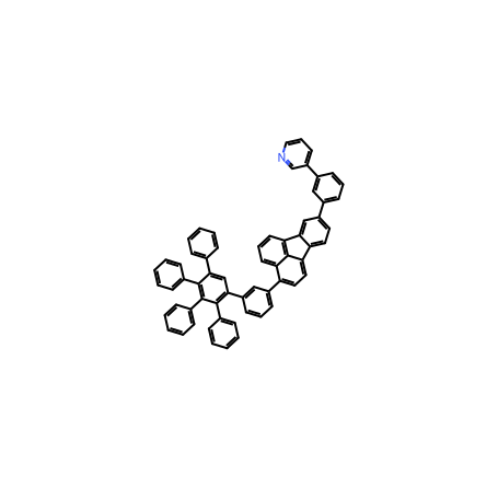 c1ccc(-c2cc(-c3cccc(-c4ccc5c6c(cccc46)-c4cc(-c6cccc(-c7cccnc7)c6)ccc4-5)c3)c(-c3ccccc3)c(-c3ccccc3)c2-c2ccccc2)cc1